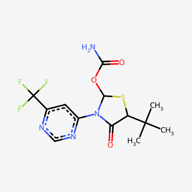 CC(C)(C)C1SC(OC(N)=O)N(c2cc(C(F)(F)F)ncn2)C1=O